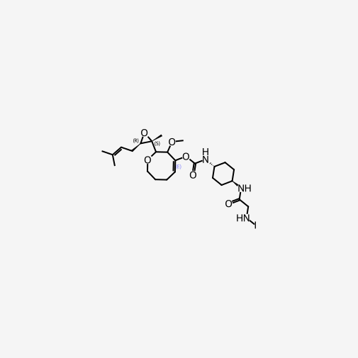 COC1/C(OC(=O)N[C@H]2CC[C@H](NC(=O)CNI)CC2)=C\CCCOC1[C@@]1(C)O[C@@H]1CC=C(C)C